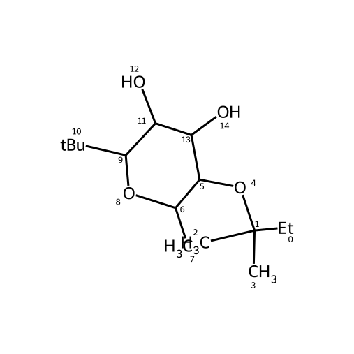 CCC(C)(C)OC1C(C)OC(C(C)(C)C)C(O)C1O